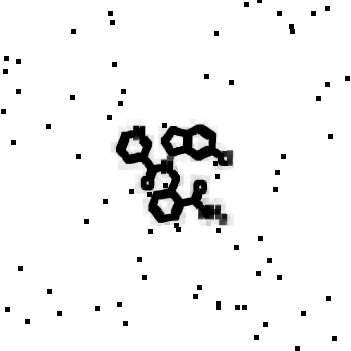 NC(=O)c1ccccc1CN(C(=O)c1cccnc1)[C@@H]1CCc2ccc(Cl)cc21